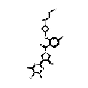 CC1=N/C(=C2\CN(C(=O)c3ccc(F)cc3OC3CC(NCCO)C3)CC2=N)NC(C)=C1Cl